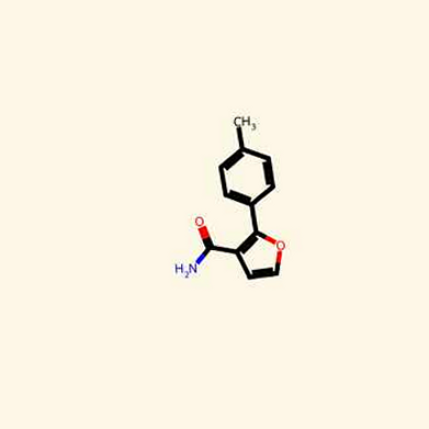 Cc1ccc(-c2occc2C(N)=O)cc1